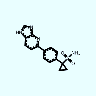 NS(=O)(=O)C1(c2ccc(-c3ccc4[nH]cnc4n3)cc2)CC1